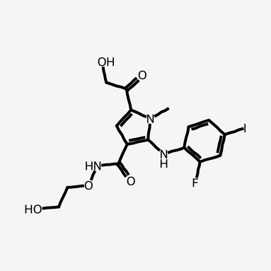 Cn1c(C(=O)CO)cc(C(=O)NOCCO)c1Nc1ccc(I)cc1F